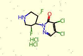 Cl.Cl.O=c1c(Cl)c(Cl)cnn1C1[C@@H](F)CNC[C@@H]1F